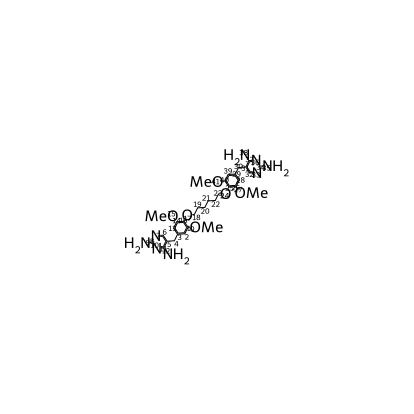 COc1cc(Cc2cnc(N)nc2N)cc(OC)c1OCCCCCCOc1c(OC)cc(Cc2cnc(N)nc2N)cc1OC